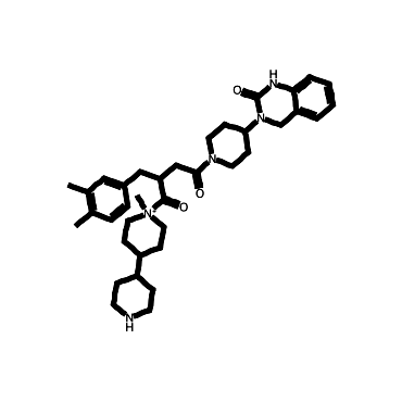 Cc1ccc(CC(CC(=O)N2CCC(N3Cc4ccccc4NC3=O)CC2)C(=O)[N+]2(C)CCC(C3CCNCC3)CC2)cc1C